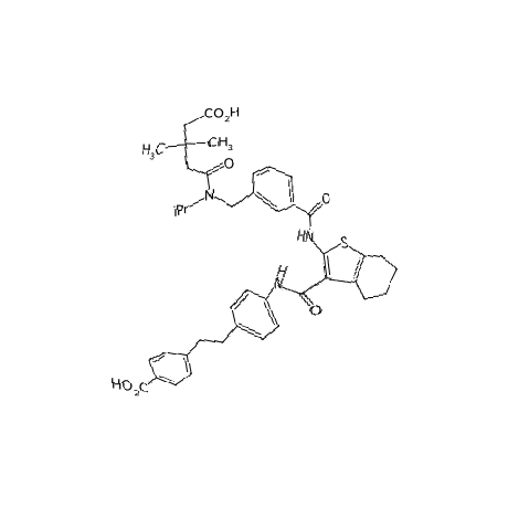 CC(C)N(Cc1cccc(C(=O)Nc2sc3c(c2C(=O)Nc2ccc(CCc4ccc(C(=O)O)cc4)cc2)CCCC3)c1)C(=O)CC(C)(C)CC(=O)O